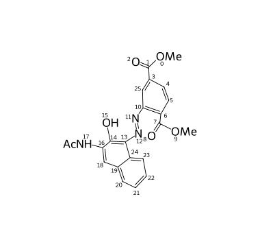 COC(=O)c1ccc(C(=O)OC)c(/N=N/c2c(O)c(NC(C)=O)cc3ccccc23)c1